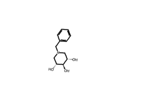 O[C@H]1[C@H](O)CN(Cc2ccccc2)C[C@@H]1O